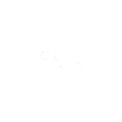 COc1ccccc1C1CCN(CC(N)Cc2ccccc2)CC1